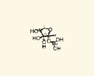 C[C@]1(OB(O)O)OC[C@H](O)C1(O)O